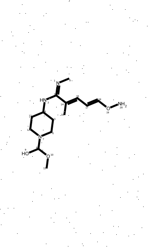 C\N=C(NC1CCN(C(O)OC)CC1)/C(C)=C/C=C/ON